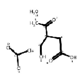 CC(=O)C(CO)CC(=O)O.ClC(Cl)Cl.O